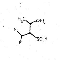 CC(O)C(C(F)F)S(=O)(=O)O